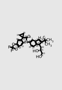 CC(C)(C)C1=Cc2cc(NC(=O)C3(c4ccc5c(c4)OC(F)(F)O5)CC3)ccc2C1C[C@@H](O)CO